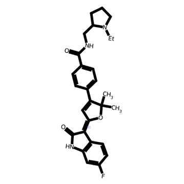 CCN1CCCC1CNC(=O)c1ccc(C2=C/C(=C3\C(=O)Nc4cc(F)ccc43)OC2(C)C)cc1